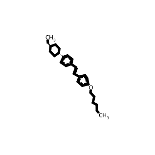 CCCCCCOc1ccc(C=Cc2ccc([C@H]3CC[C@H](CC)CC3)cc2)cc1